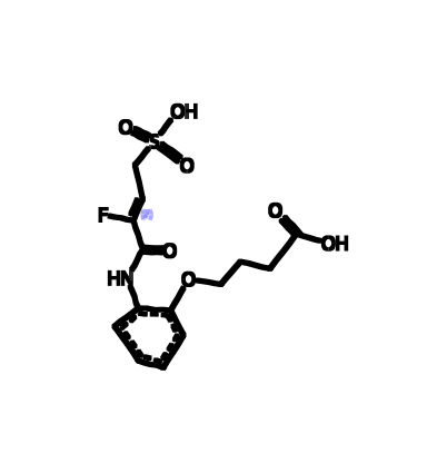 O=C(O)CCCOc1ccccc1NC(=O)/C(F)=C/CS(=O)(=O)O